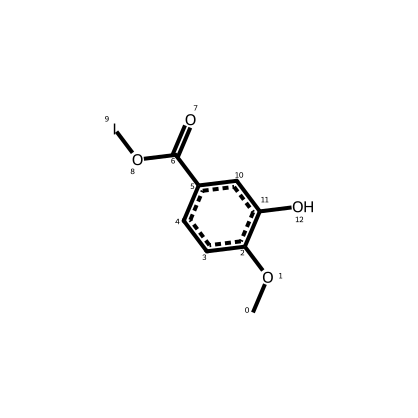 COc1ccc(C(=O)OI)cc1O